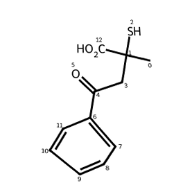 CC(S)(CC(=O)c1ccccc1)C(=O)O